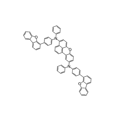 c1ccc(N(c2ccc(-c3cccc4c3oc3ccccc34)cc2)c2ccc3c(c2)-c2cccc4c(N(c5ccccc5)c5ccc(-c6cccc7c6oc6ccccc67)cc5)ccc(c24)O3)cc1